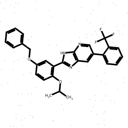 CC(C)Oc1ccc(OCc2ccccc2)cc1-c1nc2cc(-c3ccccc3C(F)(F)F)cnc2[nH]1